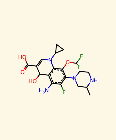 CC1CN(c2c(F)c(N)c3c(c2OC(F)F)N(C2CC2)C=C(C(=O)O)C3O)CCN1